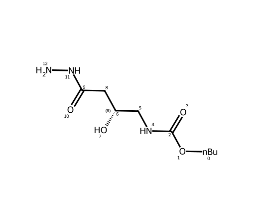 CCCCOC(=O)NC[C@H](O)CC(=O)NN